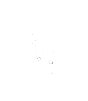 C=C(OCC)C(C(C)C)C(C(=O)OCC)C(C)C